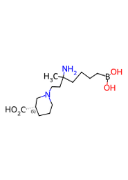 CC(N)(CCCCB(O)O)CCN1CCC[C@H](C(=O)O)C1